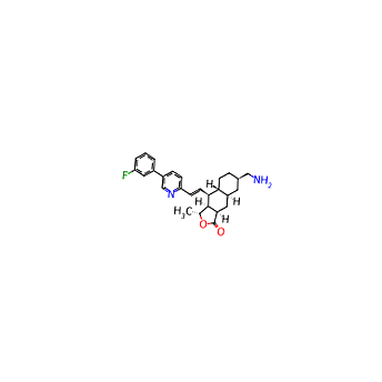 C[C@H]1OC(=O)[C@@H]2C[C@@H]3C[C@H](CN)CC[C@H]3[C@H](/C=C/c3ccc(-c4cccc(F)c4)cn3)[C@H]12